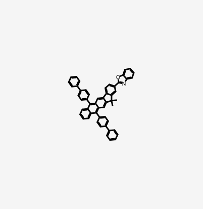 CC1(C)c2cc(-c3nc4ccccc4o3)ccc2-c2cc3c(-c4ccc(-c5ccccc5)cc4)c4ccccc4c(-c4ccc(-c5ccccc5)cc4)c3cc21